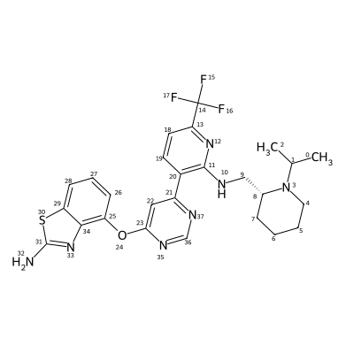 CC(C)N1CCCC[C@@H]1CNc1nc(C(F)(F)F)ccc1-c1cc(Oc2cccc3sc(N)nc23)ncn1